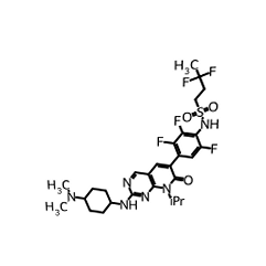 CC(C)n1c(=O)c(-c2cc(F)c(NS(=O)(=O)CCC(C)(F)F)c(F)c2F)cc2cnc(NC3CCC(N(C)C)CC3)nc21